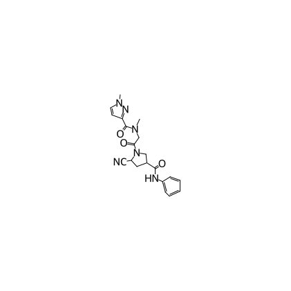 CN(CC(=O)N1CC(C(=O)Nc2ccccc2)CC1C#N)C(=O)c1ccn(C)n1